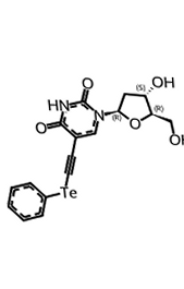 O=c1[nH]c(=O)n([C@H]2C[C@H](O)[C@@H](CO)O2)cc1C#C[Te]c1ccccc1